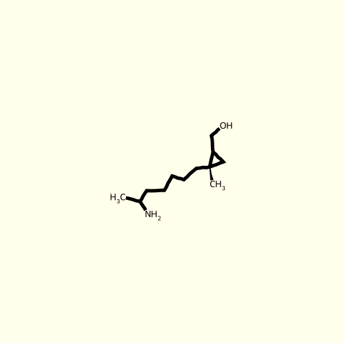 CC(N)CCCCC[C@@]1(C)CC1CO